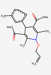 C=CCON1C(C)=C(C(=O)OC)C(c2cccc([N+](=O)[O-])c2)C(C(=O)OC)=C1C